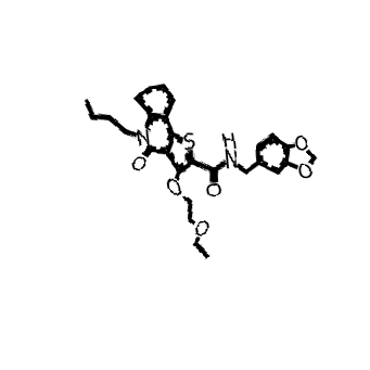 CCCCn1c(=O)c2c(OCCOCC)c(C(=O)NCc3ccc4c(c3)OCO4)sc2c2ccccc21